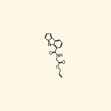 C=CCOC(=O)CNC(=O)c1cccc2c1N=C1C=CC=C12